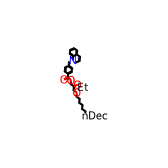 CCCCCCCCCCCCCCCCOCC(COC(=O)c1ccc(C[n+]2cccc3ccccc32)cc1)OCC